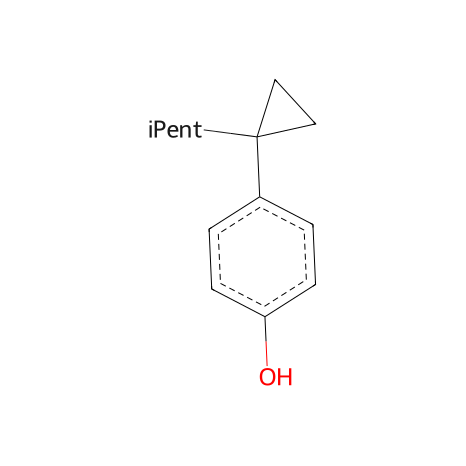 CCCC(C)C1(c2ccc(O)cc2)CC1